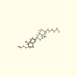 C=CCCc1ccc2cc([C@@H]3CC[C@@H]4CC(CCCCCC)CCC4C3)ccc2c1F